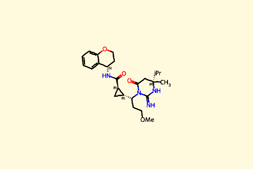 COCCC([C@@H]1C[C@H]1C(=O)N[C@H]1CCOc2ccccc21)N1C(=N)N[C@@](C)(C(C)C)CC1=O